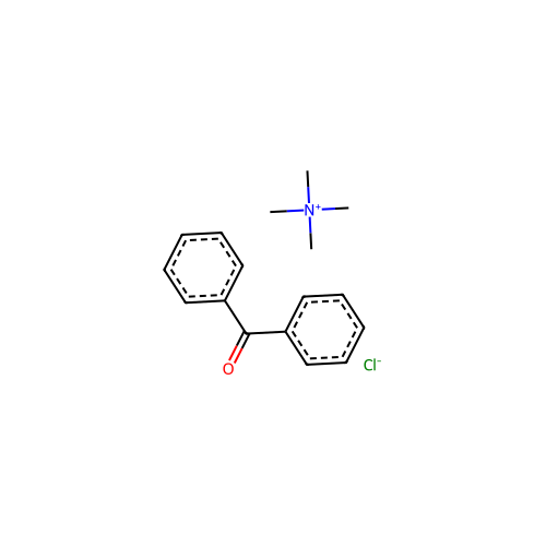 C[N+](C)(C)C.O=C(c1ccccc1)c1ccccc1.[Cl-]